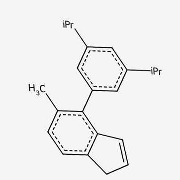 Cc1ccc2c(c1-c1cc(C(C)C)cc(C(C)C)c1)C=CC2